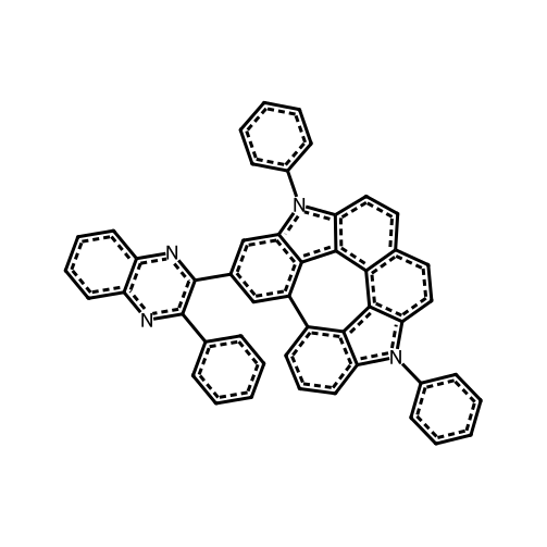 c1ccc(-c2nc3ccccc3nc2-c2cc3c4c5c6c(ccc7c6c6c-3cccc6n7-c3ccccc3)ccc5n(-c3ccccc3)c4c2)cc1